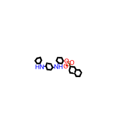 O=S(=O)(Oc1cccc(Nc2ccc(Nc3ccccc3)cc2)c1)c1ccc2ccccc2c1